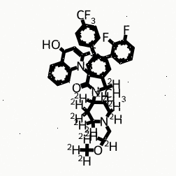 [2H]C([2H])([2H])OC([2H])([2H])CN1C([2H])([2H])C([2H])([2H])C([2H])(N(C(=O)CN2C(SCc3cccc(F)c3F)=CC(O)c3ccccc32)C([2H])(C)c2ccc(-c3ccc(C(F)(F)F)cc3)cc2)C([2H])([2H])C1([2H])[2H]